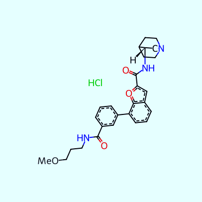 COCCCNC(=O)c1cccc(-c2cccc3cc(C(=O)N[C@H]4CN5CCC4CC5)oc23)c1.Cl